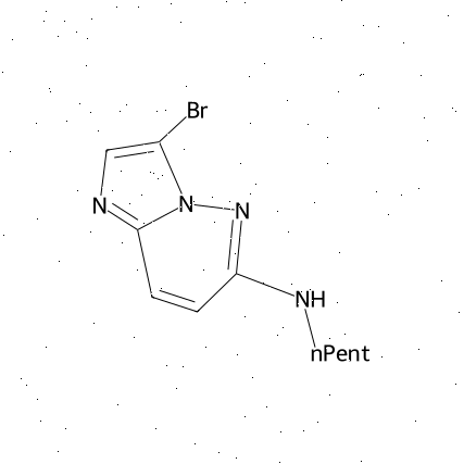 CCCCCNc1ccc2ncc(Br)n2n1